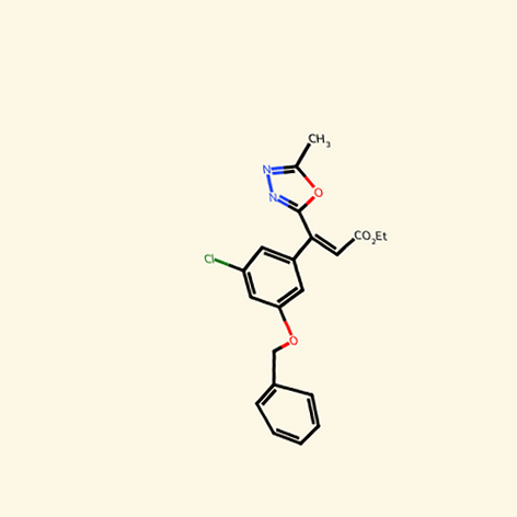 CCOC(=O)C=C(c1cc(Cl)cc(OCc2ccccc2)c1)c1nnc(C)o1